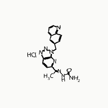 CC(=NNC(N)=O)c1ccc2nnn(Cc3ccc4ncccc4c3)c2n1.Cl